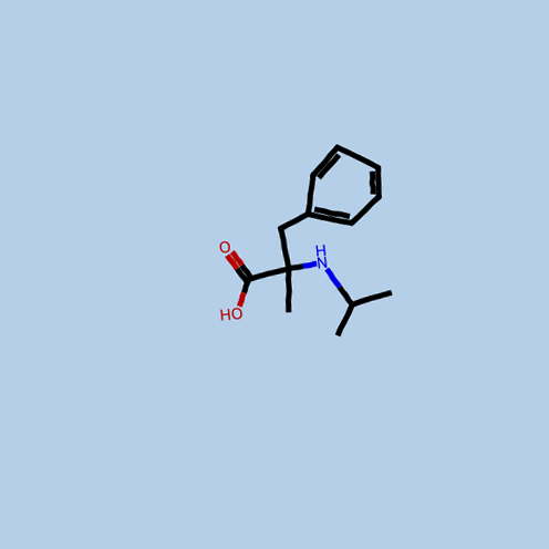 CC(C)NC(C)(Cc1ccccc1)C(=O)O